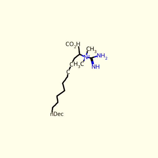 CCCCCCCCCCCCCCCCCCCC(C(=O)O)[N+](C)(C)C(=N)N